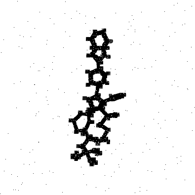 CCOC(=O)c1c(C#N)c(-c2ccc(-c3nc4ccccc4o3)cc2)nn1[C@@H]1CCCN(C(=O)OC(C)(C)C)C1